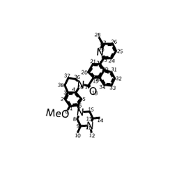 COc1cc2c(cc1N1CC(C)N(C)C(C)C1)N(C(=O)c1ccc(-c3cccc(C)n3)c3ccccc13)CCC2